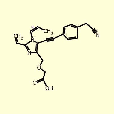 C=Cc1nc(COCC(=O)O)c(C#Cc2ccc(CC#N)cc2)n1/C=C\C